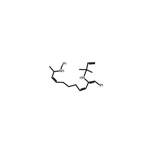 C=CC(C)(C)NC(/C=C\CCC/C=C\C(C)NC(C)C)=C/C(C)C